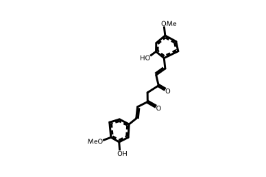 COc1ccc(C=CC(=O)CC(=O)C=Cc2ccc(OC)c(O)c2)c(O)c1